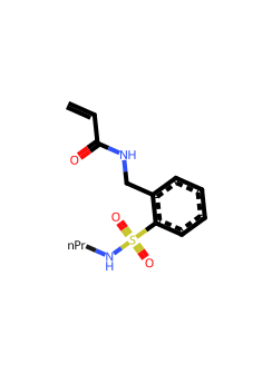 C=CC(=O)NCc1ccccc1S(=O)(=O)NCCC